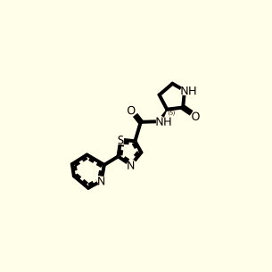 O=C(N[C@H]1CCNC1=O)c1cnc(-c2ccccn2)s1